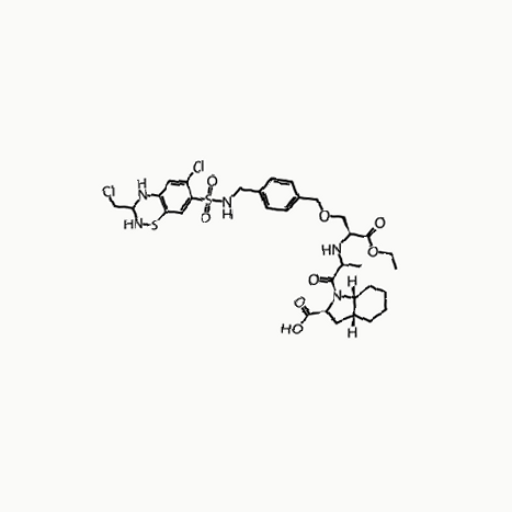 CCOC(=O)[C@H](COCc1ccc(CNS(=O)(=O)c2cc3c(cc2Cl)NC(CCl)NS3)cc1)N[C@@H](C)C(=O)N1[C@@H]2CCCC[C@@H]2C[C@H]1C(=O)O